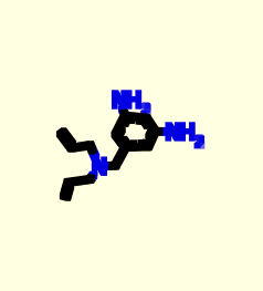 C=CCN(CC=C)Cc1cc(N)cc(N)c1